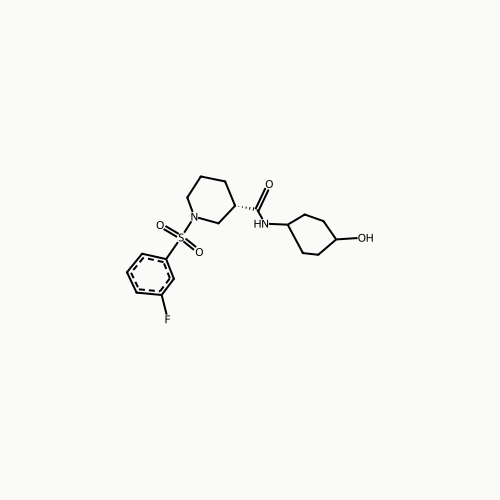 O=C(NC1CCC(O)CC1)[C@H]1CCCN(S(=O)(=O)c2cccc(F)c2)C1